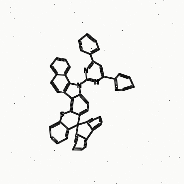 c1ccc(-c2cc(-c3ccccc3)nc(-n3c4ccc5c(c4c4ccc6ccccc6c43)Sc3ccccc3C53c4ccccc4-c4ccccc43)n2)cc1